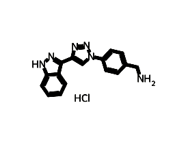 Cl.NCc1ccc(-n2cc(-c3n[nH]c4ccccc34)nn2)cc1